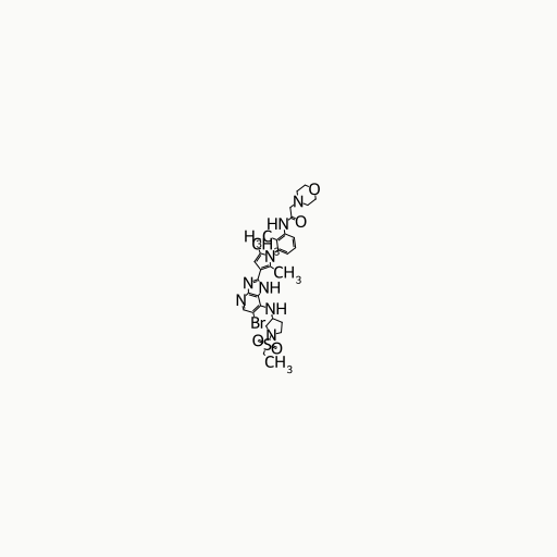 CCS(=O)(=O)N1CC[C@H](Nc2c(Br)cnc3nc(-c4cc(C)n(-c5cccc(NC(=O)CN6CCOCC6)c5C)c4C)[nH]c23)C1